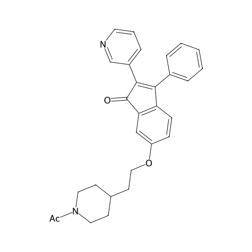 CC(=O)N1CCC(CCOc2ccc3c(c2)C(=O)C(c2cccnc2)=C3c2ccccc2)CC1